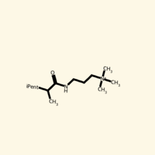 CCCC(C)C(C)C(=O)NCCC[N+](C)(C)C